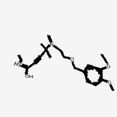 COc1ccc(COCCN(C)C(C)(C)C#CC(O)=[SH]C)cc1OC